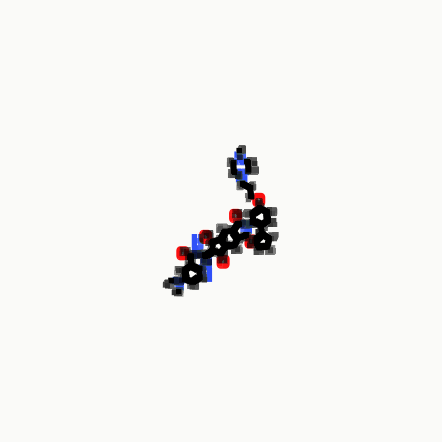 CN1CCN(CCCOc2ccc(C3=CC=CC3)c(N3C(=O)c4cc5c(cc4C3=O)C(=O)C(=C3NC(=O)c4cc(N(C)C)ccc4N3)C5=O)c2)CC1